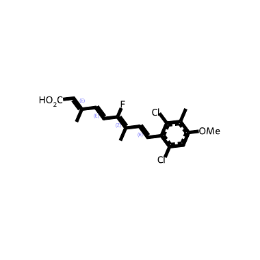 COc1cc(Cl)c(/C=C/C(C)=C(F)/C=C/C(C)=C/C(=O)O)c(Cl)c1C